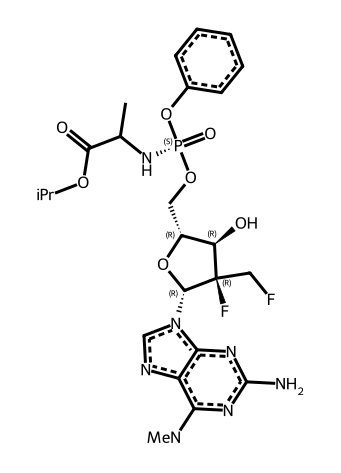 CNc1nc(N)nc2c1ncn2[C@@H]1O[C@H](CO[P@@](=O)(NC(C)C(=O)OC(C)C)Oc2ccccc2)[C@@H](O)[C@]1(F)CF